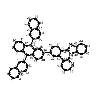 c1ccc2cc(-c3c4ccccc4c(-c4ccc5ccccc5c4)c4cc(-c5ccc6c(c5)c5cccnc5n5c7ccccc7nc65)ccc34)ccc2c1